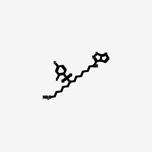 O=C(O)CCCCCN(CCCCCCNc1nsc2nccn12)S(=O)(=O)c1ccc(F)cc1F